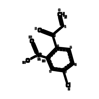 C=CC(=O)c1ccc(Cl)cc1[N+](=O)[O-]